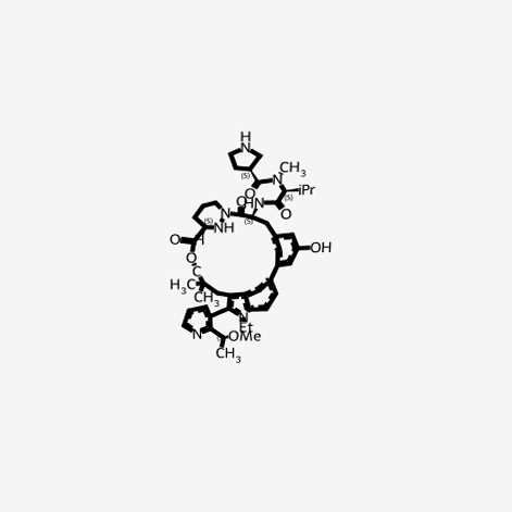 CCn1c(-c2cccnc2[C@H](C)OC)c2c3cc(ccc31)-c1cc(O)cc(c1)C[C@H](NC(=O)[C@H](C(C)C)N(C)C(=O)[C@H]1CCNC1)C(=O)N1CCC[C@H](N1)C(=O)OCC(C)(C)C2